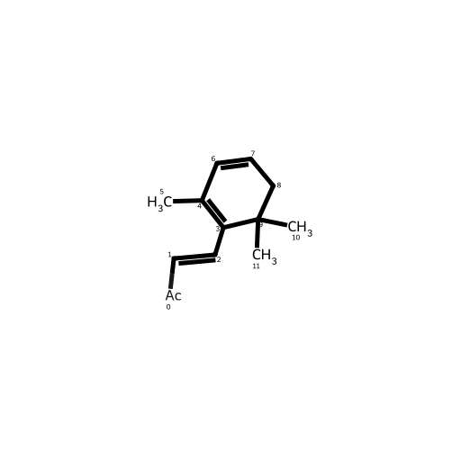 CC(=O)/C=C/C1=C(C)C=CCC1(C)C